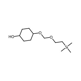 C[Si](C)(C)CCOCOC1CCC(O)CC1